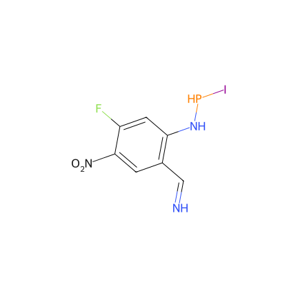 N=Cc1cc([N+](=O)[O-])c(F)cc1NPI